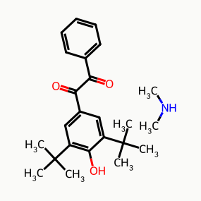 CC(C)(C)c1cc(C(=O)C(=O)c2ccccc2)cc(C(C)(C)C)c1O.CNC